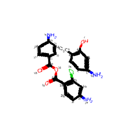 Nc1ccc(C(=O)O)c(O)c1.Nc1ccc(C(=O)OC(=O)c2ccc(N)cc2Cl)cc1